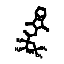 CC(C)C(C)(CC(C)(C)C)C(=O)ON1C(=O)C2C3C=CC(C3)C2C1=O